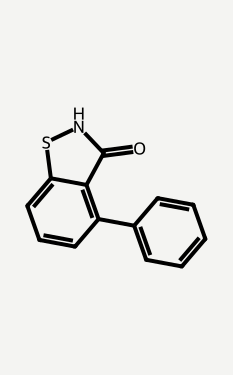 O=c1[nH]sc2cccc(-c3ccccc3)c12